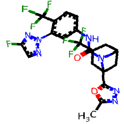 Cc1nnc(C23CC(CC(C(F)(F)F)C2)N3C(=O)Nc2ccc(C(F)(F)F)c(-n3ncc(F)n3)c2)o1